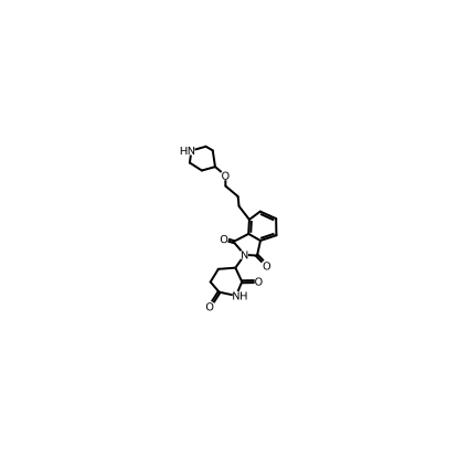 O=C1CCC(N2C(=O)c3cccc(CCCOC4CCNCC4)c3C2=O)C(=O)N1